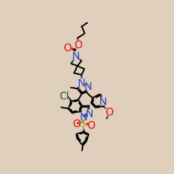 CCCCOC(=O)N1CC2(CC(n3nc(-c4ccc(OC)nc4)c(-c4c(Cl)c(C)cc5c4cnn5S(=O)(=O)c4ccc(C)cc4)c3C)C2)C1